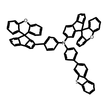 c1ccc2c(c1)Oc1ccccc1C21c2ccccc2-c2ccc(-c3ccc(N(c4ccc(-c5ccc6c(c5)sc5ccccc56)cc4)c4ccc5c(c4)C4(c6ccccc6Oc6ccccc64)c4ccccc4-5)cc3)cc21